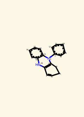 C1=CC2=C(CC1)N(c1ccccc1)c1ccccc1N2